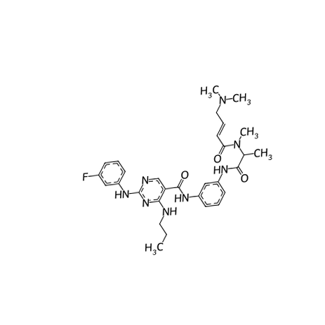 CCCNc1nc(Nc2cccc(F)c2)ncc1C(=O)Nc1cccc(NC(=O)C(C)N(C)C(=O)/C=C/CN(C)C)c1